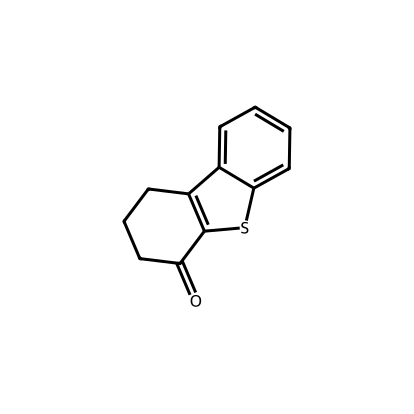 O=C1CCCc2c1sc1ccccc21